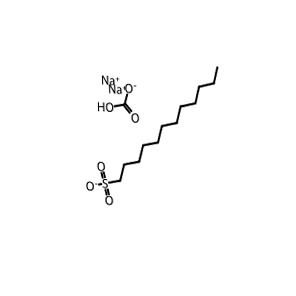 CCCCCCCCCCCCS(=O)(=O)[O-].O=C([O-])O.[Na+].[Na+]